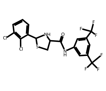 O=C(Nc1cc(C(F)(F)F)cc(C(F)(F)F)c1)C1CSC(c2cccc(Cl)c2Cl)N1